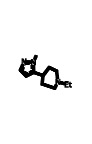 [CH2]CN1CCC(c2ccnn2C)CC1